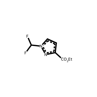 CCOC(=O)c1ccn(C(F)F)n1